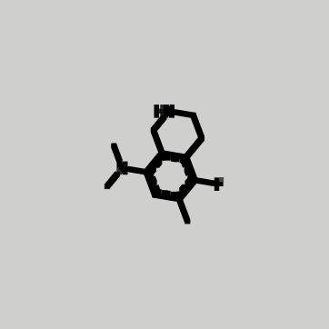 Cc1cc(N(C)C)c2c(c1F)CCNC2